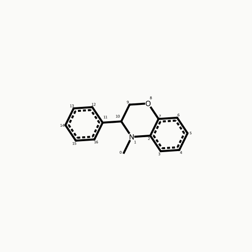 CN1c2ccccc2OCC1c1ccccc1